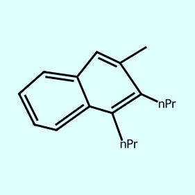 CCCc1c(C)cc2ccccc2c1CCC